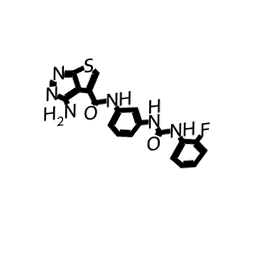 Nc1ncnc2scc(C(=O)Nc3cccc(NC(=O)Nc4ccccc4F)c3)c12